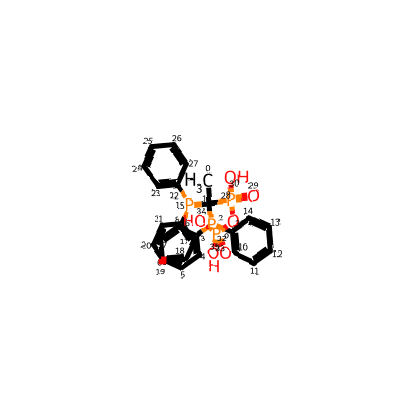 CC(P(c1ccccc1)c1ccccc1)(P(c1ccccc1)c1ccccc1)P(=O)(O)OP(=O)(O)O